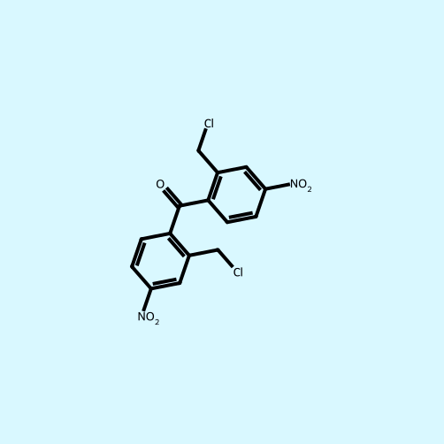 O=C(c1ccc([N+](=O)[O-])cc1CCl)c1ccc([N+](=O)[O-])cc1CCl